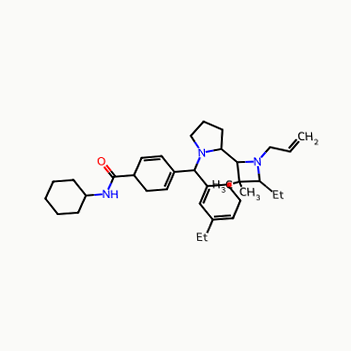 C=CCN1C(CC)C(C)(C)C1C1CCCN1C(C1=CCC(C(=O)NC2CCCCC2)C=C1)C1=CC(CC)=CCC1